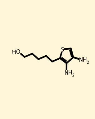 Nc1csc(CCCCCO)c1N